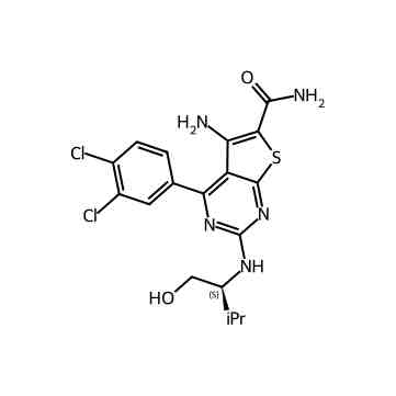 CC(C)[C@@H](CO)Nc1nc(-c2ccc(Cl)c(Cl)c2)c2c(N)c(C(N)=O)sc2n1